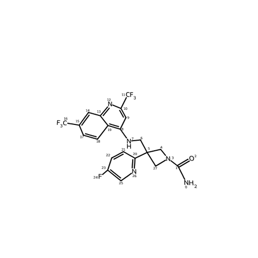 NC(=O)N1CC(CNc2cc(C(F)(F)F)nc3cc(C(F)(F)F)ccc23)(c2ccc(F)cn2)C1